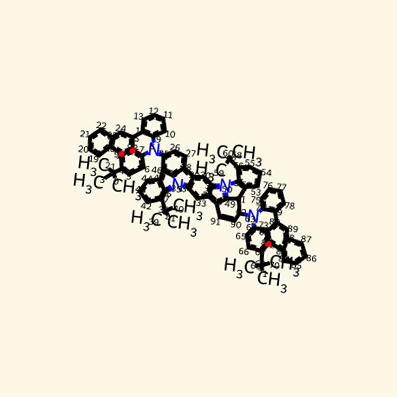 CC(C)(C)c1ccc(N(c2ccccc2-c2ccc3ccccc3c2)c2ccc3c4cc5c(cc4n4c6c(C(C)(C)C)cccc6c2c34)c2c3n5-c4c(cccc4C(C)(C)C)C3C(N(c3ccc(C(C)(C)C)cc3)c3ccccc3-c3ccc4ccccc4c3)C=C2)cc1